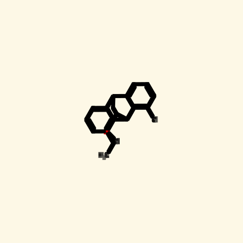 CCCC1CC2c3cccc(Cl)c3C1c1c(Cl)cccc12